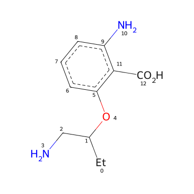 CCC(CN)Oc1cccc(N)c1C(=O)O